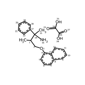 CC(COc1cccc2ccccc12)C(C)(N)c1ccccc1.O=C(O)C(=O)O